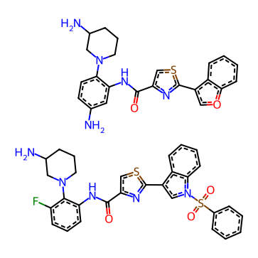 NC1CCCN(c2c(F)cccc2NC(=O)c2csc(-c3cn(S(=O)(=O)c4ccccc4)c4ccccc34)n2)C1.Nc1ccc(N2CCCC(N)C2)c(NC(=O)c2csc(-c3coc4ccccc34)n2)c1